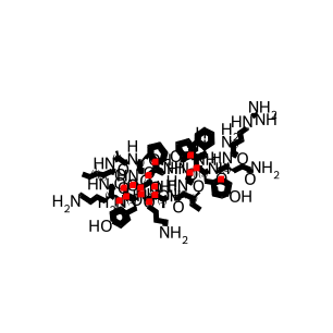 CC[C@H](C)[C@H](NC(=O)[C@H](CCCCN)NC(=O)[C@H](Cc1ccc(O)cc1)NC(=O)[C@H](Cc1c[nH]c2ccccc12)NC(=O)[C@H](C)NC(=O)[C@@H](NC(=O)[C@H](Cc1c[nH]c2ccccc12)NC(=O)[C@H](Cc1ccccc1)NC(=O)[C@H](Cc1ccc(O)cc1)NC(=O)[C@H](CCC(N)=O)NC(=O)[C@@H](N)CCCNC(=N)N)[C@@H](C)CC)C(=O)N[C@@H](C)C(=O)N[C@@H](CO)C(=O)N[C@@H](CC(N)=O)C(=O)N[C@@H](CCCCN)C(=O)O